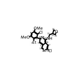 CCc1c(OC)cc(OC)c(Cl)c1-c1cc2cnc(Cl)cc2c(NCC2COC2)n1